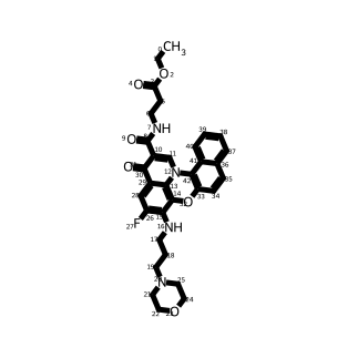 CCOC(=O)CCNC(=O)c1cn2c3c(c(NCCCN4CCOCC4)c(F)cc3c1=O)Oc1ccc3ccccc3c1-2